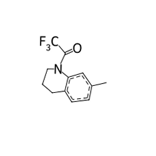 Cc1ccc2c(c1)N(C(=O)C(F)(F)F)CCC2